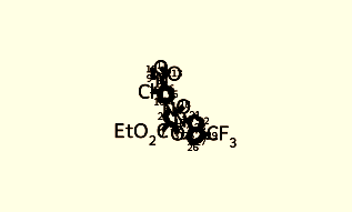 CCOC(=O)c1cn(-c2ccc(N3CCOC3=O)c(Cl)c2)c(=O)n(C2CCc3c2cccc3C(F)(F)F)c1=O